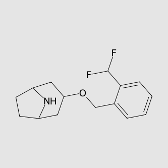 FC(F)c1ccccc1COC1CC2CCC(C1)N2